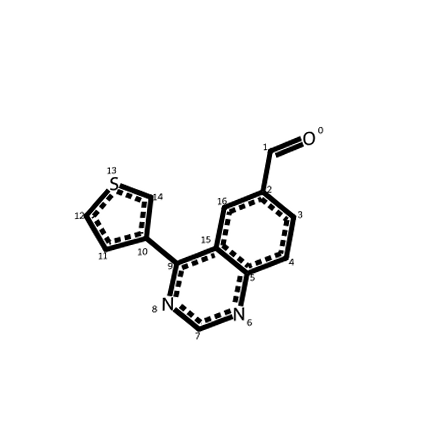 O=Cc1ccc2ncnc(-c3ccsc3)c2c1